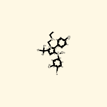 CCOCn1c(C(F)(F)F)cc([S+]([O-])c2ccc(F)c(Cl)c2)c1-c1ccc(Cl)cc1